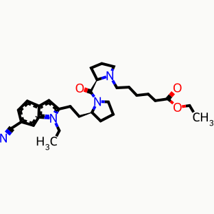 CCOC(=O)CCCCCN1CCC[C@@H]1C(=O)N1CCC[C@H]1CCc1cc2ccc(C#N)cc2n1CC